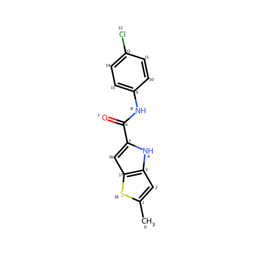 Cc1cc2[nH]c(C(=O)Nc3ccc(Cl)cc3)cc2s1